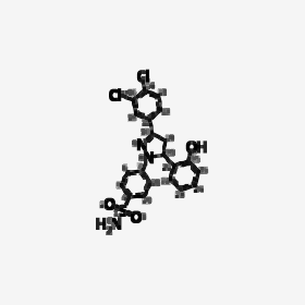 NS(=O)(=O)c1ccc(N2N=C(c3ccc(Cl)c(Cl)c3)CC2c2ccccc2O)cc1